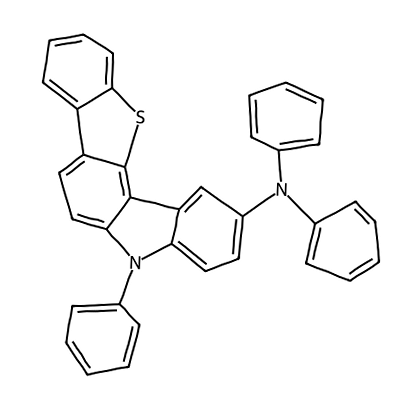 c1ccc(N(c2ccccc2)c2ccc3c(c2)c2c4sc5ccccc5c4ccc2n3-c2ccccc2)cc1